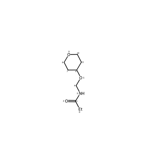 CCC(=O)NCOC1CCOCC1